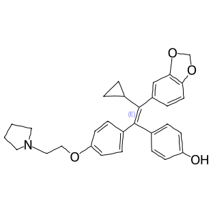 Oc1ccc(/C(=C(\c2ccc3c(c2)OCO3)C2CC2)c2ccc(OCCN3CCCC3)cc2)cc1